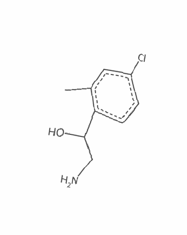 Cc1cc(Cl)ccc1C(O)CN